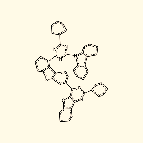 c1ccc(-c2nc(-c3cccc4sc5cc(-c6nc(-c7ccccc7)nc7c6oc6ccccc67)ccc5c34)nc(-n3c4ccccc4c4ccccc43)n2)cc1